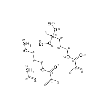 C=C(C)C(=O)OCCCO[SiH3].C=C(C)C(=O)OCCC[Si](C)(OCC)OCC.C=C[SiH3]